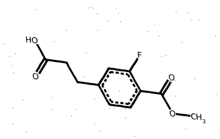 COC(=O)c1ccc(CCC(=O)O)cc1F